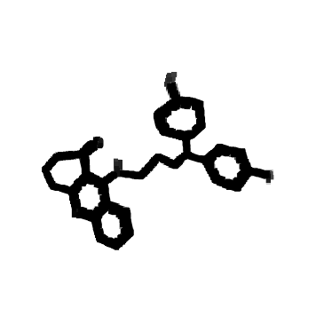 O=C1CCCc2nc3ccccc3c(NCCCC(c3ccc(F)cc3)c3ccc(F)cc3)c21